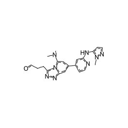 CN(C)c1cc(-c2ccnc(Nc3ccnn3C)c2)cc2nnc(CCC=O)n12